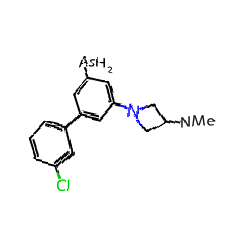 CNC1CN(c2cc([AsH2])cc(-c3cccc(Cl)c3)c2)C1